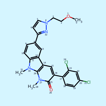 COCCn1ccc(-c2ccc3c(c2)c2cc(-c4ccc(Cl)cc4Cl)c(=O)n(C)c2n3C)n1